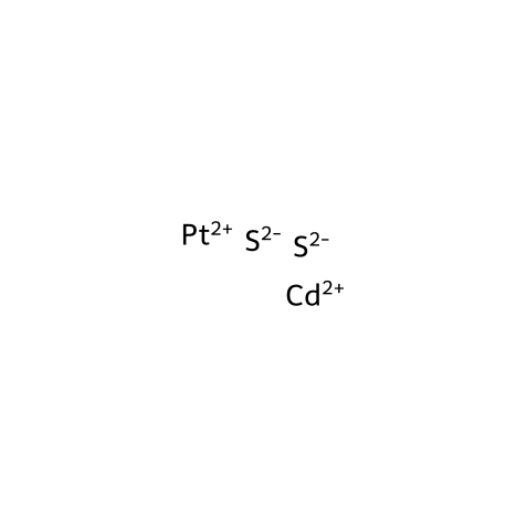 [Cd+2].[Pt+2].[S-2].[S-2]